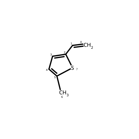 C=Cc1ccc(C)s1